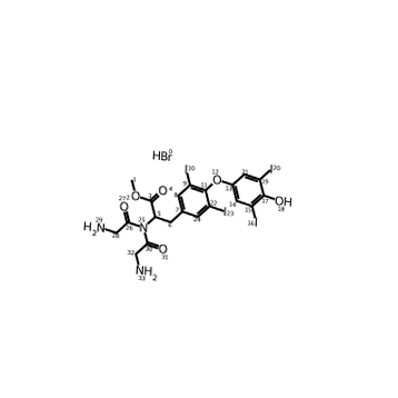 Br.COC(=O)C(Cc1cc(I)c(Oc2cc(I)c(O)c(I)c2)c(I)c1)N(C(=O)CN)C(=O)CN